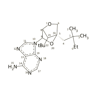 CCC(C)(C)C[C@]12COC(C(n3cnc4c(N)ncnc43)O1)C2C(C)(C)C